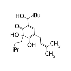 CCC(C)C(O)C1=CC(CC=C(C)C)=C(O)C(O)(CCC(C)C)C1=O